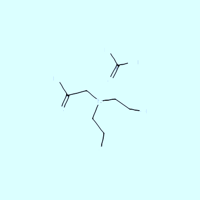 O=C(O)CN(CCO)CCO.O=C(O)O